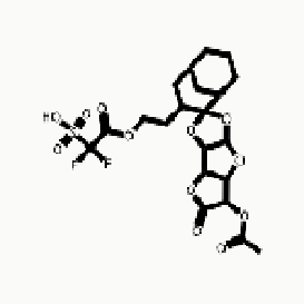 CC(=O)OC1C(=O)OC2C3OC4(OC3OC12)C1CCCC(C1)CC4CCOC(=O)C(F)(F)S(=O)(=O)O